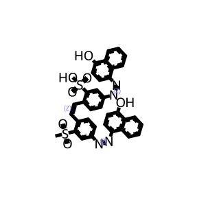 CS(=O)(=O)c1cc(/N=N\c2ccc(O)c3ccccc23)ccc1/C=C\c1ccc(/N=N\c2ccc(O)c3ccccc23)cc1S(=O)(=O)O